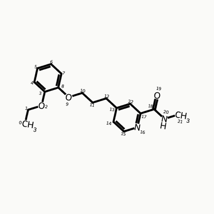 CCOc1ccccc1OCCCc1ccnc(C(=O)NC)c1